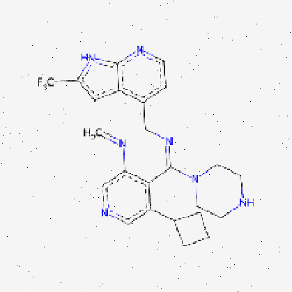 C=Nc1cncc(C2CCC2)c1/C(=N\Cc1ccnc2[nH]c(C(F)(F)F)cc12)N1CCNCC1